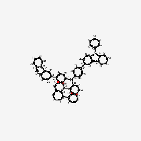 c1ccc(-c2cccc3cccc(-c4ccccc4N(c4ccc(-c5ccc6oc7ccccc7c6c5)cc4)c4ccc(-c5ccc6c(c5)c5ccccc5n6-c5ccccc5)cc4)c23)cc1